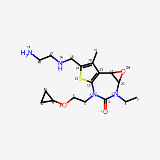 CCN1C(=O)N(CCOC2CC2)c2sc(CNCCN)c(C)c2C2OC21